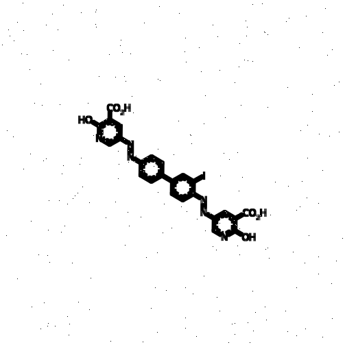 O=C(O)c1cc(N=Nc2ccc(-c3ccc(N=Nc4cnc(O)c(C(=O)O)c4)c(I)c3)cc2)cnc1O